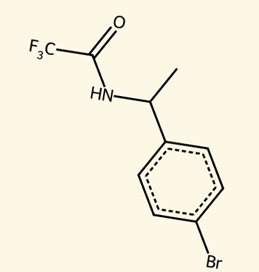 CC(NC(=O)C(F)(F)F)c1ccc(Br)cc1